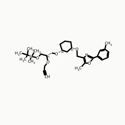 C#CCO[C@@H](CO[C@@H]1CCC[C@H](OCc2nc(-c3cccc(C)c3)oc2C)C1)CO[Si](C)(C)C(C)(C)C